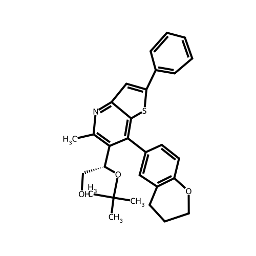 Cc1nc2cc(-c3ccccc3)sc2c(-c2ccc3c(c2)CCCO3)c1[C@@H](CO)OC(C)(C)C